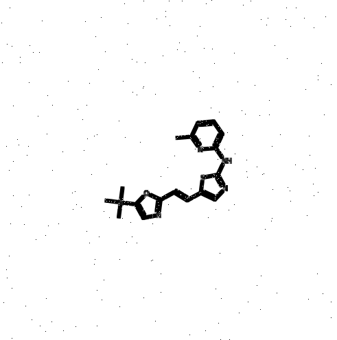 Cc1cccc(Nc2ncc(C=Cc3ncc([Si](C)(C)C)o3)s2)n1